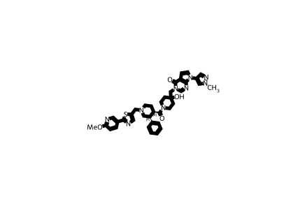 COc1ccc(-c2ncc(CN3CC[C@@H](C(=O)N4CCC(O)(Cn5cnc6c(ccn6-c6cnn(C)c6)c5=O)CC4)[C@H](c4ccccc4)C3)s2)cn1